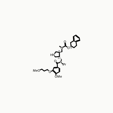 COCCCOc1cc(C(=O)N(C[C@@H]2CNC[C@H]2CN(C)C(=O)O[C@H]2CCc3ccccc3C2)C(C)C)ccc1OC